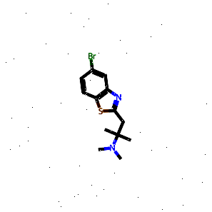 CN(C)C(C)(C)Cc1nc2cc(Br)ccc2s1